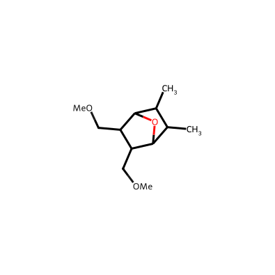 COCC1C(COC)C2OC1C(C)C2C